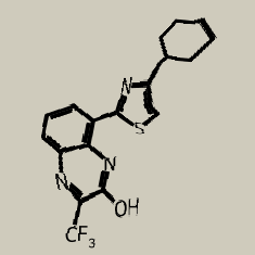 Oc1nc2c(-c3nc(C4CCCCC4)cs3)cccc2nc1C(F)(F)F